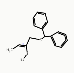 C/C=C(/CSC(C1=CC=C=C=C1)c1ccccc1)SCC